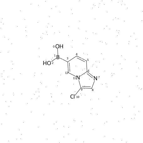 OB(O)c1ccc2ncc(Cl)n2c1